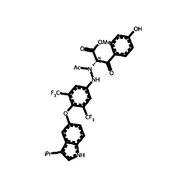 COC(=O)[C@H](C(=O)c1ccc(O)cc1)N(Nc1cc(C(F)(F)F)c(Oc2ccc3[nH]cc(C(C)C)c3c2)c(C(F)(F)F)c1)C(C)=O